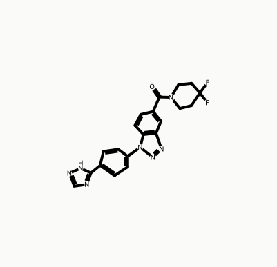 O=C(c1ccc2c(c1)nnn2-c1ccc(-c2ncn[nH]2)cc1)N1CCC(F)(F)CC1